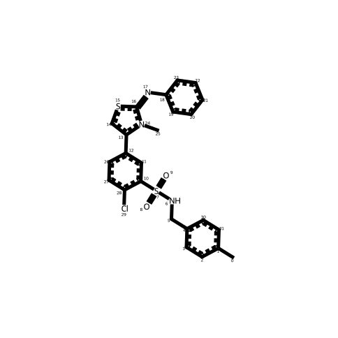 Cc1ccc(CNS(=O)(=O)c2cc(-c3csc(=Nc4ccccc4)n3C)ccc2Cl)cc1